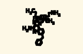 CCC[C@@H](C)c1nc2c(N)nc3cc(Cc4ccccc4)ccc3c2n1CC(C)(C)OCCN